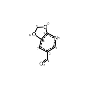 O=Cc1cnc2c(c1)OCO2